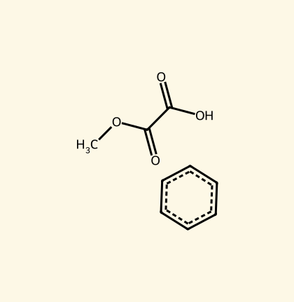 COC(=O)C(=O)O.c1ccccc1